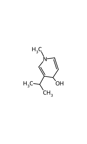 CC(C)C1=CN(C)C=CC1O